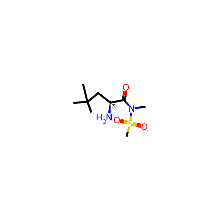 CN(C(=O)[C@@H](N)CC(C)(C)C)S(C)(=O)=O